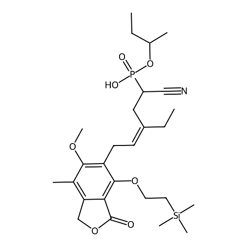 CCC(=CCc1c(OC)c(C)c2c(c1OCC[Si](C)(C)C)C(=O)OC2)CC(C#N)P(=O)(O)OC(C)CC